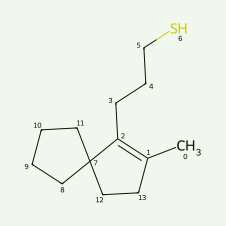 CC1=C(CCCS)C2(CCCC2)CC1